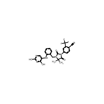 CC1(C)C(=O)N(c2ccc(C#N)c(C(F)(F)F)c2)C(=O)N1Cc1ccccc1Nc1cnc(O)nc1O